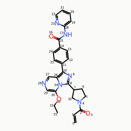 C=CC(=O)N1CCC(c2nc(-c3ccc(C(=O)Nc4ccccn4)cc3)c3cncc(OCC)n23)C1